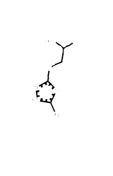 CC(CSc1n[nH]c(N)n1)C(=O)O